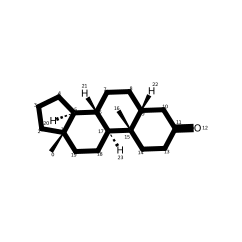 C[C@@]12CCC[C@H]1[C@@H]1CC[C@@H]3CC(=O)CC[C@]3(C)[C@H]1CC2